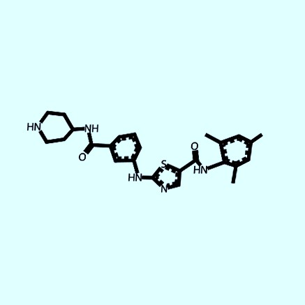 Cc1cc(C)c(NC(=O)c2cnc(Nc3cccc(C(=O)NC4CCNCC4)c3)s2)c(C)c1